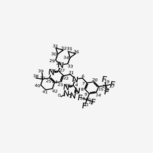 Cn1nnc(N(Cc2cc(C(F)(F)F)cc(C(F)(F)F)c2)Cc2cc3c(nc2N(CC2CC2)CC2CC2)C(C)(C)CCC3)n1